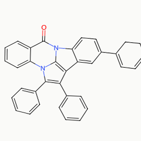 O=c1c2ccccc2n2c(-c3ccccc3)c(-c3ccccc3)c3c4cc(C5=CC=CCC5)ccc4n1c32